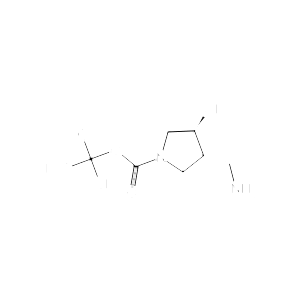 CC(C)(C)OC(=O)N1C[C@@H](CN)[C@H](O)C1